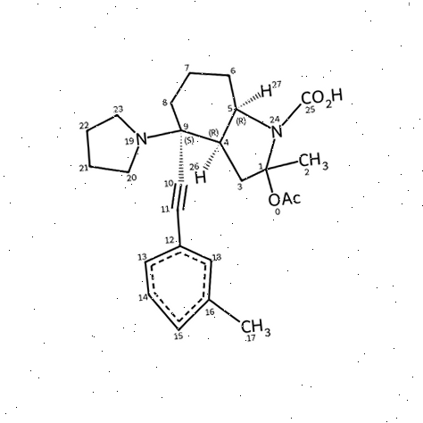 CC(=O)OC1(C)C[C@@H]2[C@@H](CCC[C@]2(C#Cc2cccc(C)c2)N2CCCC2)N1C(=O)O